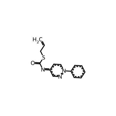 C=CCSC(=O)N=c1ccn(-c2ccccc2)nc1